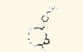 CN(C)CCN1CCC(n2cc3c(n2)C(=O)NCCCCCCN/C=C(\C=N)c2cccc(n2)C(=O)N3)CC1